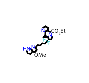 CCOC(=O)C(c1cccnc1C1CC1)N1CC[C@@H](C(F)(F)CCCCc2cc(OC)c3c(n2)NCCC3)C1